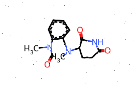 CN(C=O)c1ccccc1N(C)C1CCC(=O)NC1=O